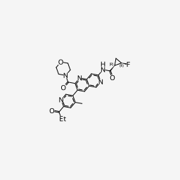 CCC(=O)c1cc(C)c(-c2cc3cnc(NC(=O)[C@H]4C[C@H]4F)cc3nc2C(=O)N2CCOCC2)cn1